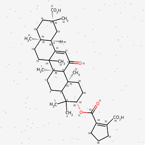 CC1(C)C2CC[C@]3(C)C(C(=O)C=C4[C@@H]5C[C@@](C)(C(=O)O)CC[C@]5(C)CCC43C)[C@@]2(C)CC[C@@H]1OC(=O)C1=C(C(=O)O)CCC1